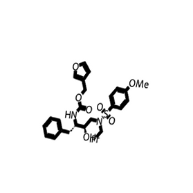 COc1ccc(S(=O)(=O)N(CC(C)C)C[C@@H](O)[C@H](Cc2ccccc2)NC(=O)OCc2ccoc2)cc1